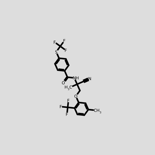 Cc1ccc(C(F)(F)F)c(OCC(C)(C#N)NC(=O)c2ccc(SC(F)(F)F)cc2)c1